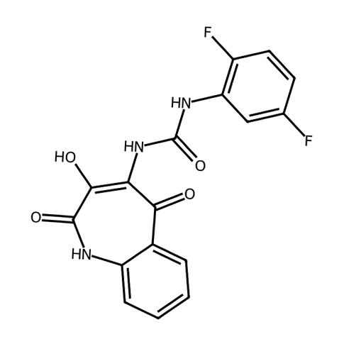 O=C(Nc1cc(F)ccc1F)Nc1c(O)c(=O)[nH]c2ccccc2c1=O